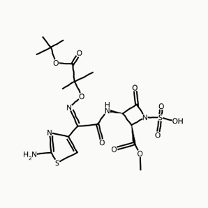 COC(=O)[C@H]1[C@@H](NC(=O)/C(=N\OC(C)(C)C(=O)OC(C)(C)C)c2csc(N)n2)C(=O)N1S(=O)(=O)O